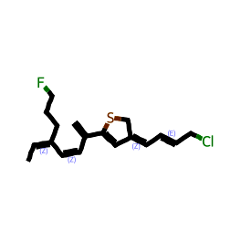 C=C(/C=C\C(=C/C)CCCF)C1=C/C(=C/C=C/CCl)CS1